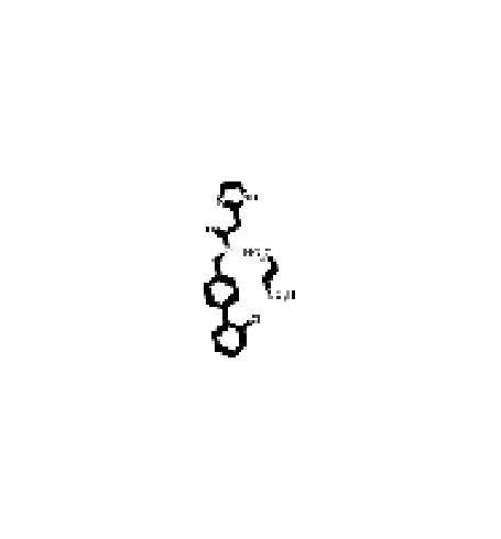 O=C(Cc1ncc[nH]1)OCc1ccc(-c2ccccc2Cl)cc1.O=C(O)C=CC(=O)O